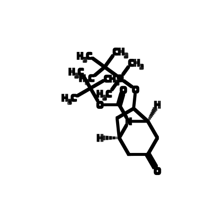 CC(C)(C)OC(=O)N1[C@H]2CC(=O)C[C@@H]1C(O[Si](C)(C)C(C)(C)C)C2